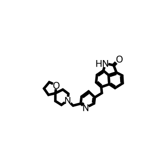 O=C1Nc2ccc(Cc3ccc(CN4CCC5(CCCO5)CC4)nc3)c3cccc1c23